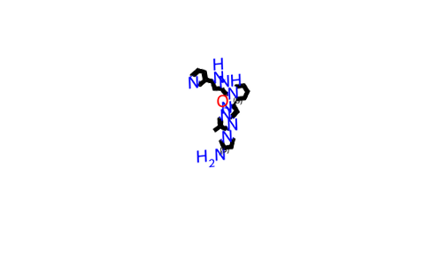 Cc1cn2nc([C@@H]3CCCCN3C(=O)C3CC(c4cccnc4)NN3)cc2nc1N1CC[C@H](N)C1